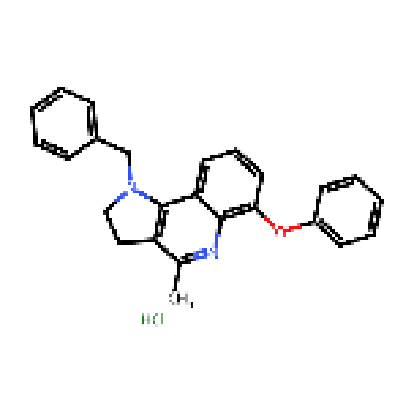 Cc1nc2c(Oc3ccccc3)cccc2c2c1CCN2Cc1ccccc1.Cl